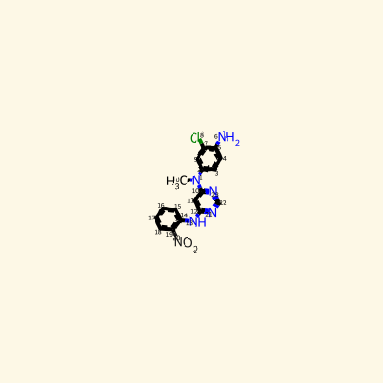 CN(c1ccc(N)c(Cl)c1)c1cc(Nc2ccccc2[N+](=O)[O-])ncn1